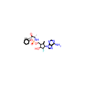 C=C1C(COP(=O)(N[C@@H](C)C(=O)OC)Oc2ccccc2)C(O)C(F)C1n1cnc2c(N)ncnc21